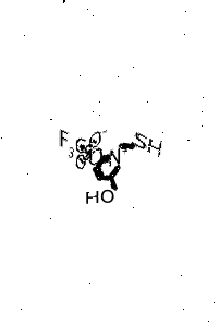 O=S(=O)([O-])C(F)(F)F.OCc1ccc[n+](CCS)c1